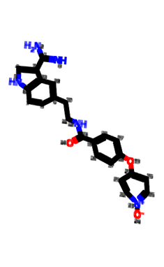 N=C(N)c1c[nH]c2ccc(CCNC(=O)c3ccc(Oc4cc[n+]([O-])cc4)cc3)cc12